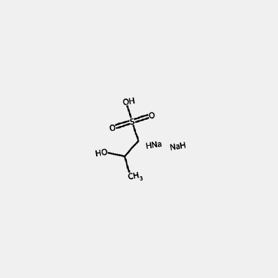 CC(O)CS(=O)(=O)O.[NaH].[NaH]